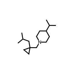 CC(C)CC1(CN2CCC(C(C)C)CC2)CC1